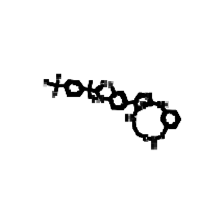 CC(C)(C(=O)Nc1ccc(-c2cnc3nc2NCCCNSc2cccc(c2)N3)cc1F)c1ccc(C(F)(F)F)cc1